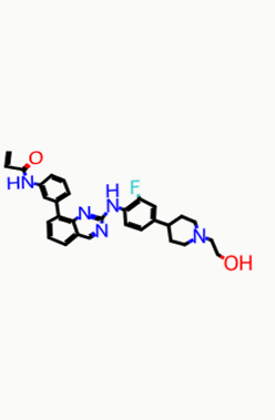 C=CC(=O)Nc1cccc(-c2cccc3cnc(Nc4ccc(C5CCN(CCO)CC5)cc4F)nc23)c1